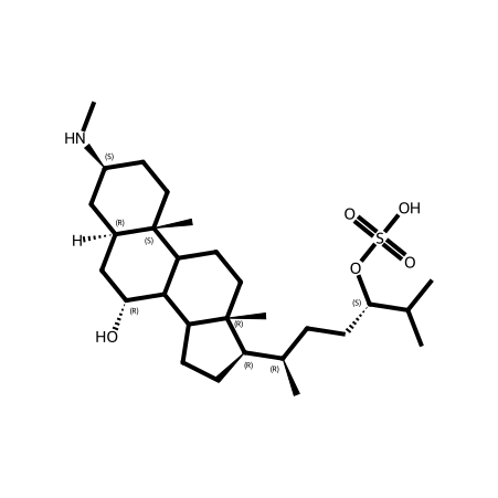 CN[C@H]1CC[C@]2(C)C3CC[C@@]4(C)C(CC[C@@H]4[C@H](C)CC[C@H](OS(=O)(=O)O)C(C)C)C3[C@H](O)C[C@H]2C1